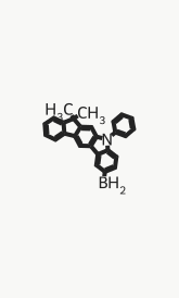 Bc1ccc2c(c1)c1cc3c(cc1n2-c1ccccc1)C(C)(C)c1ccccc1-3